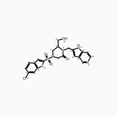 O=C1CN(S(=O)(=O)c2cc3ccc(Cl)cc3s2)CC(CO)N1Cc1cc2cnccc2[nH]1